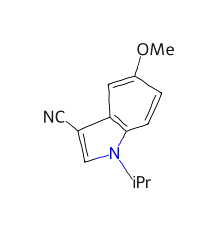 COc1ccc2c(c1)c(C#N)cn2C(C)C